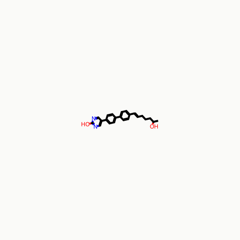 CC(O)CCCC=Cc1ccc(-c2ccc(-c3cnc(O)nc3)cc2)cc1